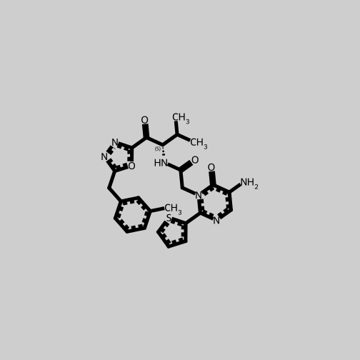 Cc1cccc(Cc2nnc(C(=O)[C@@H](NC(=O)Cn3c(-c4cccs4)ncc(N)c3=O)C(C)C)o2)c1